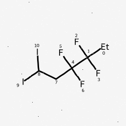 CCC(F)(F)C(F)(F)CC(I)I